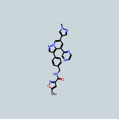 Cn1cc(-c2cc(-c3cnccn3)c3c(-c4ccc(CNC(=O)c5cc(C(C)(C)C)on5)cc4)cnn3c2)cn1